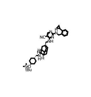 CC(C)(C)[Si](C)(C)O[C@H]1CC[C@H](CN[C@@H]2[C@@H]3CC4C[C@H]2C[C@@](CNc2nc(NCc5ccccc5C5CC5)ncc2C#N)(C4)C3)CC1